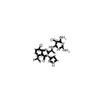 CC(Nc1nc(N)nc(N)c1Cl)c1nc2c(Cl)ccc(C(F)F)c2c(=O)n1-c1cc[nH]n1